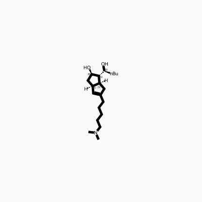 CCCC[C@H](O)[C@@H]1[C@H]2CC(CCCCCN(C)C)=C[C@H]2C[C@H]1O